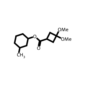 COC1(OC)CC(C(=O)OC2CCCC(C)C2)C1